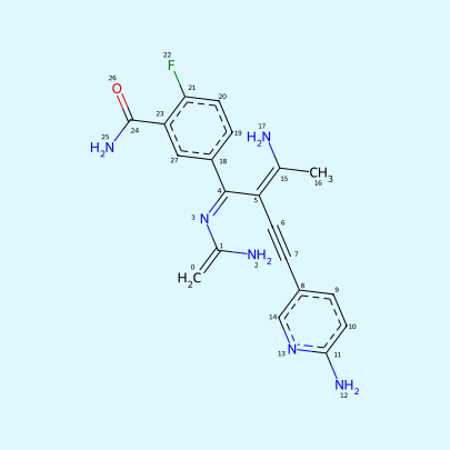 C=C(N)/N=C(\C(C#Cc1ccc(N)nc1)=C(\C)N)c1ccc(F)c(C(N)=O)c1